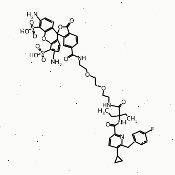 CCC(CC)(NC(=O)c1ccc(C2CC2)c(Cc2ccc(F)cc2)n1)C(=O)NCCOCCOCCNC(=O)c1ccc2c(c1)C1(OC2=O)c2ccc(N)c(S(=O)(=O)O)c2Oc2c1ccc(N)c2S(=O)(=O)O